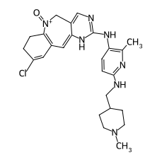 Cc1nc(NCC2CCN(C)CC2)ccc1NC1=NC=C2C[N+](=O)C3=C(C=C(Cl)CC3)C=C2N1